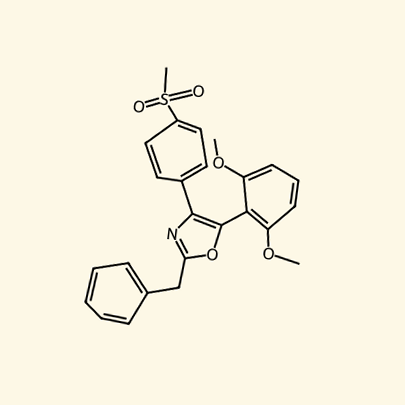 COc1cccc(OC)c1-c1oc(Cc2ccccc2)nc1-c1ccc(S(C)(=O)=O)cc1